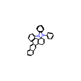 [CH]1C=CC(N(c2ccccc2)c2ccccc2)(N(c2ccccc2)c2ccccc2)c2ccc3cc4ccccc4cc3c21